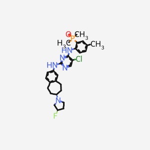 Cc1ccc(Nc2nc(Nc3ccc4c(c3)CC[C@@H](N3CC[C@@H](F)C3)CC4)ncc2Cl)c(P(C)(C)=O)c1